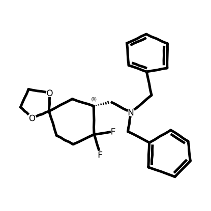 FC1(F)CCC2(C[C@@H]1CN(Cc1ccccc1)Cc1ccccc1)OCCO2